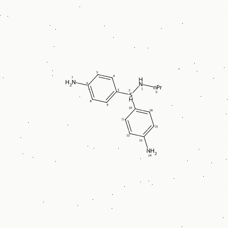 CCCN[SH](c1ccc(N)cc1)c1ccc(N)cc1